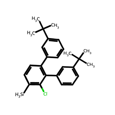 CC(C)(C)c1cccc(-c2ccc([SiH3])c(Cl)c2-c2cccc(C(C)(C)C)c2)c1